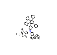 CC(C)(C)c1ccc(N(c2ccc(-c3c(-c4ccccc4)cc(-c4ccccc4)c4c5ccccc5c5ccccc5c34)cc2)c2ccc(C(C)(C)C)cc2)cc1